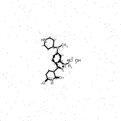 CN(c1ccc2c(C3CCC(=O)NC3=O)nn(C)c2c1)C1CCNCC1.Cl.Cl